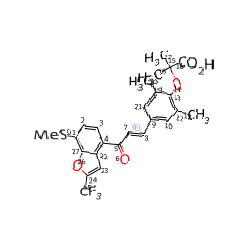 CSc1ccc(C(=O)/C=C/c2cc(C)c(OC(C)(C)C(=O)O)c(C)c2)c2cc(C(F)(F)F)oc12